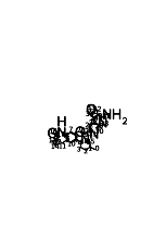 CC1CCC(c2ccc3c(c2)CC2(CC2)C(=O)N3)N(C(=O)c2cc3c4c(c(N)nc3cn2)COC4)C1